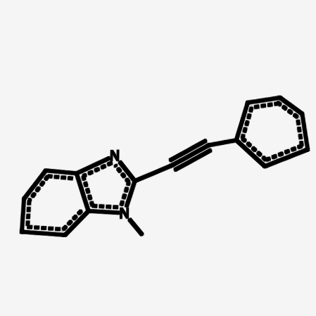 Cn1c(C#Cc2ccccc2)nc2ccccc21